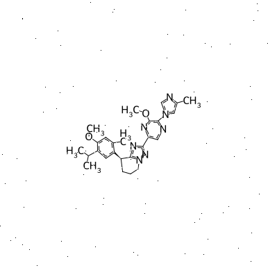 COc1cc(C)c([C@@H]2CCCn3nc(-c4cnc(-n5cnc(C)c5)c(OC)n4)nc32)cc1C(C)C